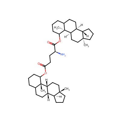 C[C@@]12CCC[C@H]1[C@@H]1CCC3CCCC(OC(=O)CC[C@H](N)C(=O)OC4CCCC5CC[C@@H]6[C@@H](CC[C@]7(C)CCC[C@@H]67)[C@]54C)[C@]3(C)[C@@H]1CC2